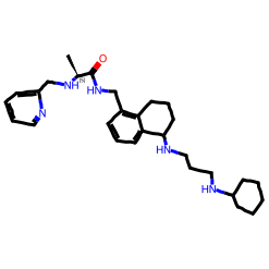 C[C@H](NCc1ccccn1)C(=O)NCc1cccc2c1CCCC2NCCCNC1CCCCC1